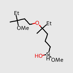 CCC(C)(CCOC(C)(CC)CCC[SiH](O)OC)OC